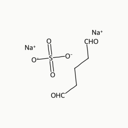 O=CCCCC=O.O=S(=O)([O-])[O-].[Na+].[Na+]